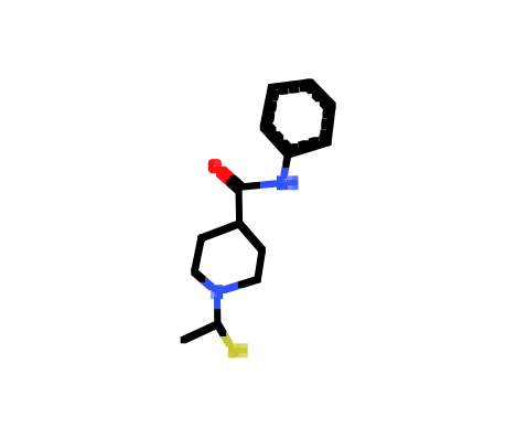 CC(S)N1CCC(C(=O)Nc2ccccc2)CC1